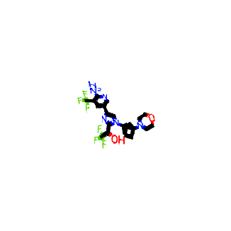 Nc1ncc(-c2cn(C3CC4(N5CCOCC5)CC3C4)c(C(O)C(F)(F)F)n2)cc1C(F)(F)F